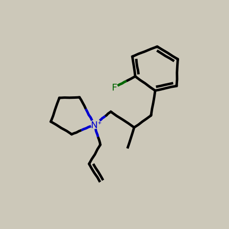 C=CC[N+]1(CC(C)Cc2ccccc2F)CCCC1